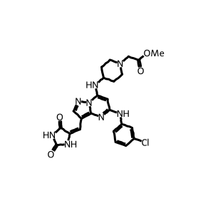 COC(=O)CN1CCC(Nc2cc(Nc3cccc(Cl)c3)nc3c(C=C4NC(=O)NC4=O)cnn23)CC1